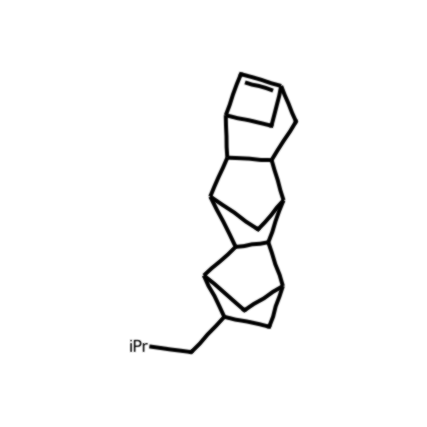 CC(C)CC1CC2CC1C1C3CC(C4CC5=CC(C5)C43)C21